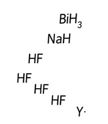 F.F.F.F.[BiH3].[NaH].[Y]